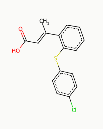 CC(=CC(=O)O)c1ccccc1Sc1ccc(Cl)cc1